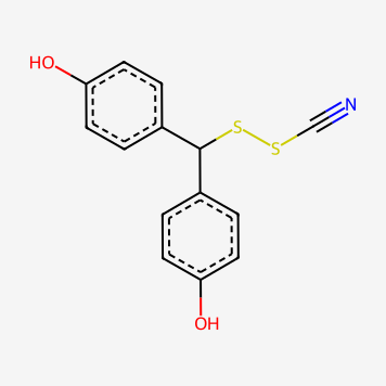 N#CSSC(c1ccc(O)cc1)c1ccc(O)cc1